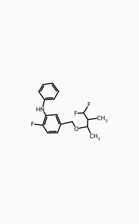 CC(OCc1ccc(F)c(Nc2ccccc2)c1)C(C)C(F)F